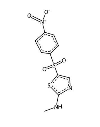 CNc1ncc(S(=O)(=O)c2ccc([N+](=O)[O-])cc2)s1